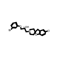 O[C@H](COc1cccc(Br)c1)CN1CCC2(CC1)Cc1cc(Cl)ccc1O2